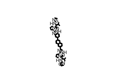 CC(C)[C@H](Nc1ncco1)C(=O)N1CCC[C@H]1c1nc(-c2ccc3cc(-c4ccc5[nH]c([C@@H]6CCCN6C(=O)[C@@H](Nc6nccs6)C(C)C)nc5c4)ccc3c2)c[nH]1